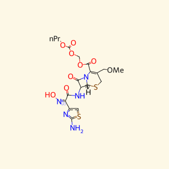 CCCOC(=O)OCOC(=O)C1=C(COC)CS[C@@H]2C(NC(=O)/C(=N\O)c3csc(N)n3)C(=O)N12